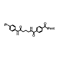 CCCC(C)C(=O)c1ccc(C(=O)NCCCC(=O)Nc2ccc(C(C)C)cc2)cc1